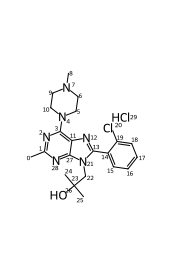 Cc1nc(N2CCN(C)CC2)c2nc(-c3ccccc3Cl)n(CC(C)(C)O)c2n1.Cl